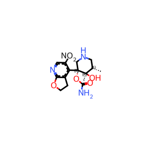 C[C@H]1CNC[C@](OC(N)=O)(c2c([N+](=O)[O-])cnc3c2CCO3)[C@]1(C)O